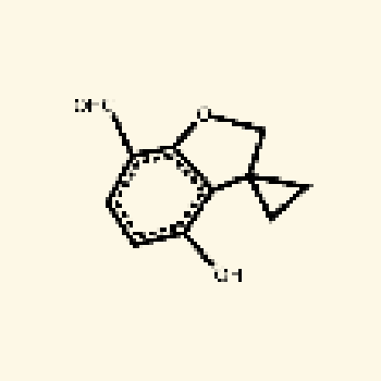 O=Cc1ccc(O)c2c1OCC21CC1